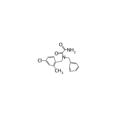 Cc1cc(Cl)ccc1CN(Cc1ccccc1)C(=O)C(N)=O